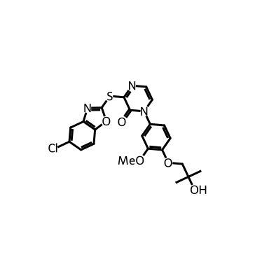 COc1cc(-n2ccnc(Sc3nc4cc(Cl)ccc4o3)c2=O)ccc1OCC(C)(C)O